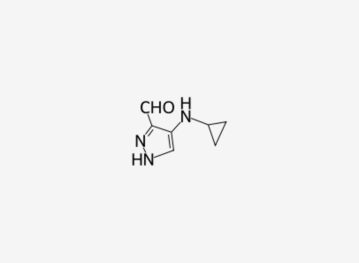 O=Cc1n[nH]cc1NC1CC1